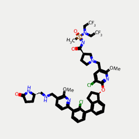 COc1nc(-c2cccc(-c3cccc4c3CC[C@@H]4Oc3nc(OC)c(CN4CC[C@@H](C(=O)N=S(C)(=O)N(CC(F)(F)F)CC(F)(F)F)C4)cc3Cl)c2Cl)ccc1CNC[C@@H]1CCC(=O)N1